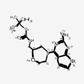 CC(C)(C)OC(=O)NCC1CN(c2nc(N)nc3[nH]ccc23)CCO1